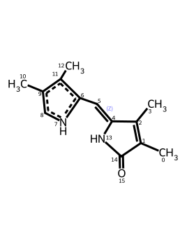 CC1=C(C)/C(=C/c2[nH]cc(C)c2C)NC1=O